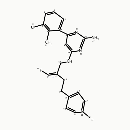 Cc1c(Cl)cccc1-c1cc(NC/C(=C\F)CCc2ccc(F)cc2)nc(N)n1